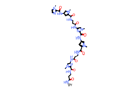 CC(C)NC(=O)CCNC(=O)c1nc(NC(=O)CCNC(=O)c2cc(NC(=O)c3nc(NC(=O)CCNC(=O)c4cc(NC(=O)c5nccn5C)cn4C)cn3C)cn2C)cn1C